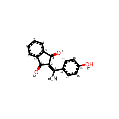 N#CC(=C1C(=O)c2ccccc2C1=O)c1ccc(O)cc1